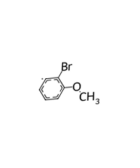 COc1ccc[c]c1Br